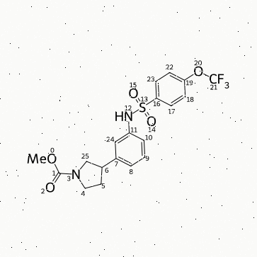 COC(=O)N1CCC(c2cccc(NS(=O)(=O)c3ccc(OC(F)(F)F)cc3)c2)C1